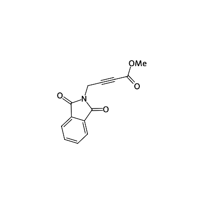 COC(=O)C#CCN1C(=O)c2ccccc2C1=O